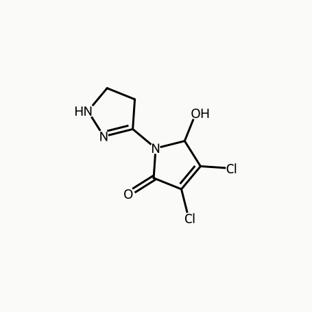 O=C1C(Cl)=C(Cl)C(O)N1C1=NNCC1